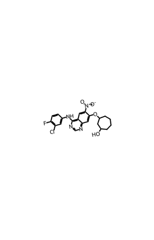 O=[N+]([O-])c1cc2c(Nc3ccc(F)c(Cl)c3)ncnc2cc1OC1CCCCC(O)C1